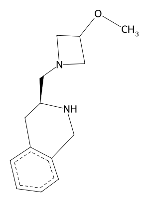 COC1CN(C[C@@H]2Cc3ccccc3CN2)C1